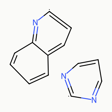 [c]1ccc2ccccc2n1.[c]1ncccn1